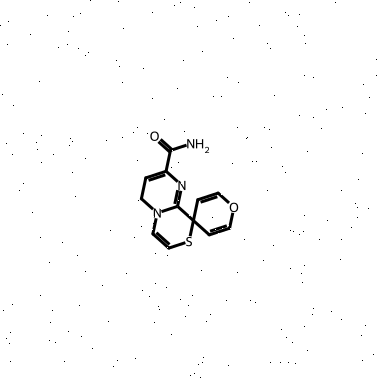 NC(=O)C1=CCN2C=CSC3(C=COC=C3)C2=N1